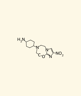 NC1CCC(N2CCOc3nc([N+](=O)[O-])cn3CC2)CC1